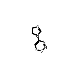 C1=NCCN1C1=CSSN=N1